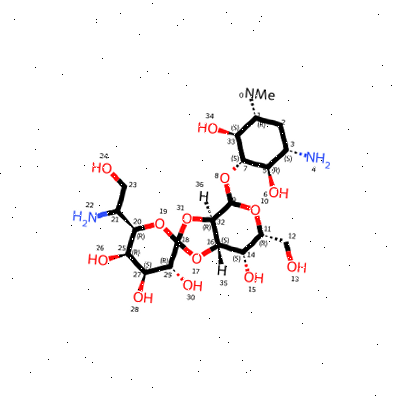 CN[C@@H]1C[C@H](N)[C@@H](O)[C@H](OC2O[C@H](CO)[C@H](O)[C@@H]3OC4(O[C@H](C(N)CO)[C@H](O)[C@H](O)[C@H]4O)O[C@@H]23)[C@H]1O